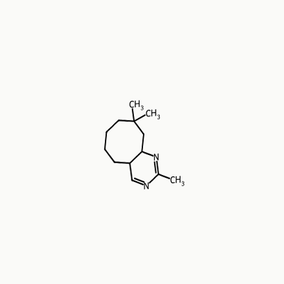 CC1=NC2CC(C)(C)CCCCC2C=N1